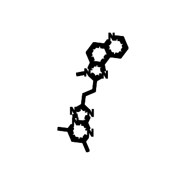 Cc1cc(C)n2nc(CCc3nc4c5cccnc5ccc4n3C)nc2n1